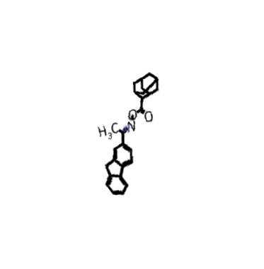 C/C(=N\OC(=O)C1C2CC3CC(C2)CC1C3)c1ccc2c(c1)Cc1ccccc1-2